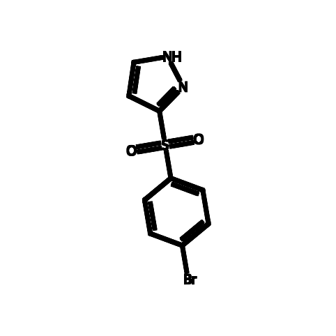 O=S(=O)(c1ccc(Br)cc1)c1cc[nH]n1